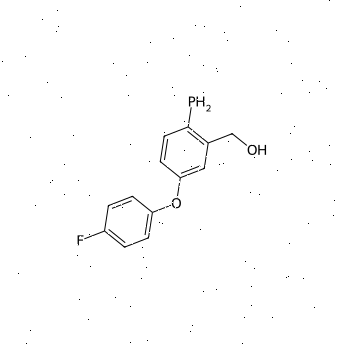 OCc1cc(Oc2ccc(F)cc2)ccc1P